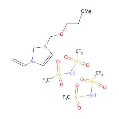 C=CN1C=CN(COCCOC)C1.O=S(=O)(NS(=O)(=O)C(F)(F)F)C(F)(F)F.O=S(=O)(NS(=O)(=O)C(F)(F)F)C(F)(F)F